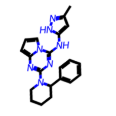 Cc1cc(Nc2nc(N3CCCCC3c3ccccc3)nc3cccn23)[nH]n1